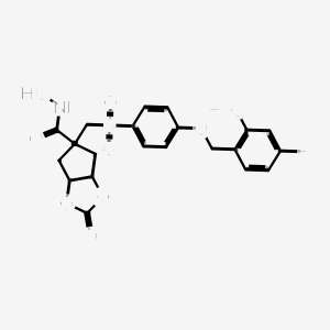 Cc1cc(F)ccc1COc1ccc(S(=O)(=O)CC2(C(=O)NO)CC3OC(=O)OC3C2)cc1